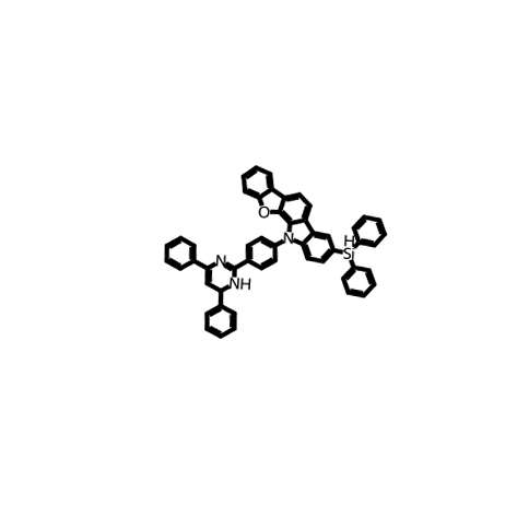 C1=C(c2ccccc2)N=C(c2ccc(-n3c4ccc([SiH](c5ccccc5)c5ccccc5)cc4c4ccc5c6ccccc6oc5c43)cc2)NC1c1ccccc1